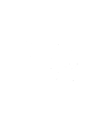 O=C(O)c1ccc(Cc2cc(Cl)ccc2OCc2ccc(F)cc2)o1